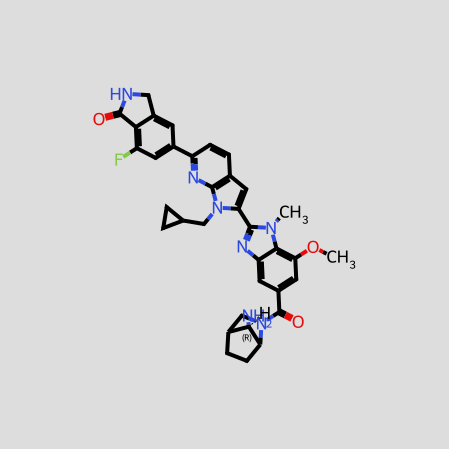 COc1cc(C(=O)N2CC3CCC2[C@@H]3N)cc2nc(-c3cc4ccc(-c5cc(F)c6c(c5)CNC6=O)nc4n3CC3CC3)n(C)c12